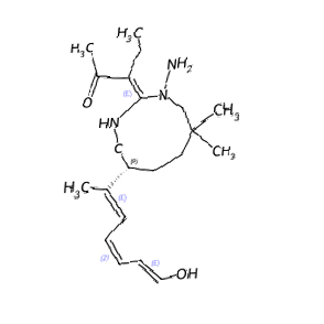 CC/C(C(C)=O)=C1/NC[C@@H](/C(C)=C/C=C\C=C\O)CCC(C)(C)CN1N